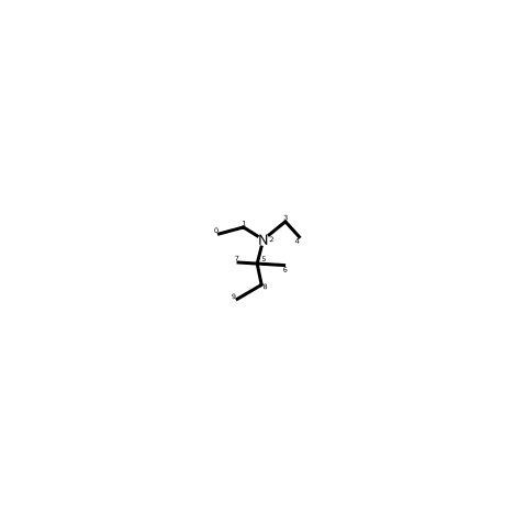 CCN(CC)C(C)(C)CC